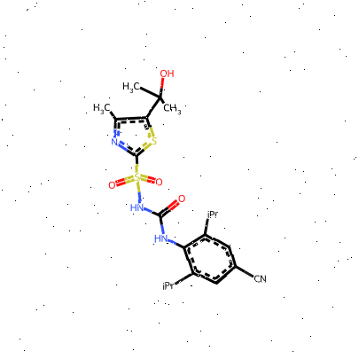 Cc1nc(S(=O)(=O)NC(=O)Nc2c(C(C)C)cc(C#N)cc2C(C)C)sc1C(C)(C)O